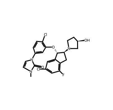 Cn1ccn(-c2ccc(Cl)c(O[C@H]3c4cc(Cl)cc(F)c4C[C@@H]3N3CC[C@@H](O)C3)c2)c1=O